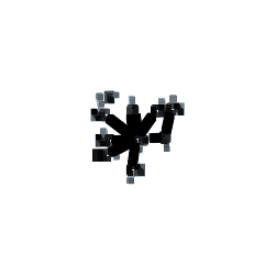 N#C[O][Co-](=[O])([C]#N)([C]#N)([C]#N)([C]#N)[C]#N.[K+]